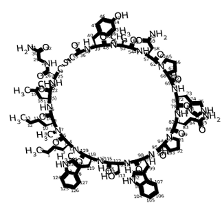 CCCC[C@H]1C(=O)N(C)[C@@H](CCCC)C(=O)N[C@@H](CC(C)C)C(=O)N[C@H](C(=O)NCC(N)=O)CSCC(=O)N[C@@H](Cc2ccc(O)cc2)C(=O)N(C)[C@@H](C)C(=O)N[C@@H](CC(N)=O)C(=O)N2CCC[C@H]2C(=O)N[C@@H](Cc2c[nH]cn2)C(=O)N[C@@H](CCC(N)=O)C(=O)N2CCC[C@H]2C(=O)N[C@@H](Cc2c[nH]c3ccccc23)C(=O)N[C@@H](CO)C(=O)N[C@@H](Cc2c[nH]c3ccccc23)C(=O)N1C